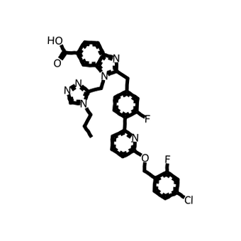 CCCn1cnnc1Cn1c(Cc2ccc(-c3cccc(OCc4ccc(Cl)cc4F)n3)c(F)c2)nc2ccc(C(=O)O)cc21